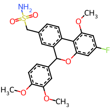 COc1ccc(C2Oc3cc(F)cc(OC)c3-c3ccc(CS(N)(=O)=O)cc32)cc1OC